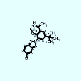 C=C(C)c1cc(C(C)(C)C)cc(-n2nc3ccc(Cl)cc3n2)c1OC